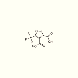 O=C(O)c1coc(C(F)(F)F)c1C(=O)O